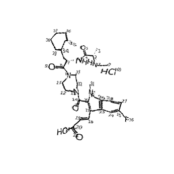 CN[C@@H](C)C(=O)N[C@H](C(=O)N1CCN(C(=O)c2c(/C=C/C(=O)O)c3cc(F)ccc3n2C)CC1)C1CCCCC1.Cl